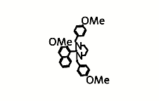 COc1ccc(CN2CCCN(Cc3ccc(OC)cc3)C2c2c(OC)ccc3ccccc23)cc1